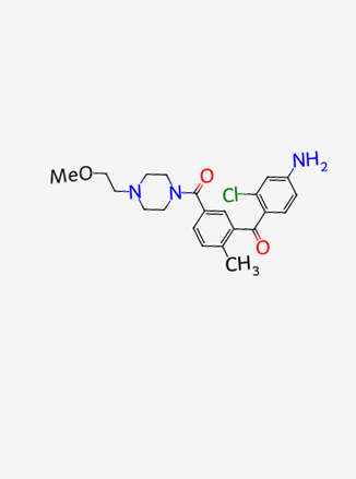 COCCN1CCN(C(=O)c2ccc(C)c(C(=O)c3ccc(N)cc3Cl)c2)CC1